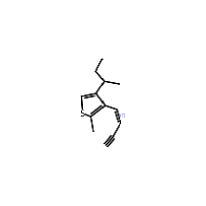 C#C/C=C\c1c(C(C)CC)csc1C